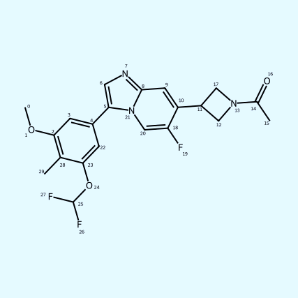 COc1cc(-c2cnc3cc(C4CN(C(C)=O)C4)c(F)cn23)cc(OC(F)F)c1C